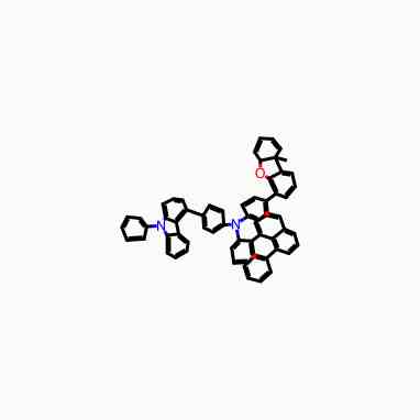 CC12C=CC=CC1Oc1c(-c3ccc(N(c4ccc(-c5cccc6c5c5ccccc5n6-c5ccccc5)cc4)c4ccccc4-c4cccc5cccc(-c6ccccc6)c45)cc3)cccc12